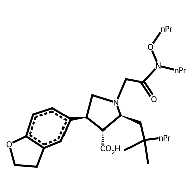 CCCON(CCC)C(=O)CN1C[C@H](c2ccc3c(c2)CCO3)[C@@H](C(=O)O)[C@@H]1CC(C)(C)CCC